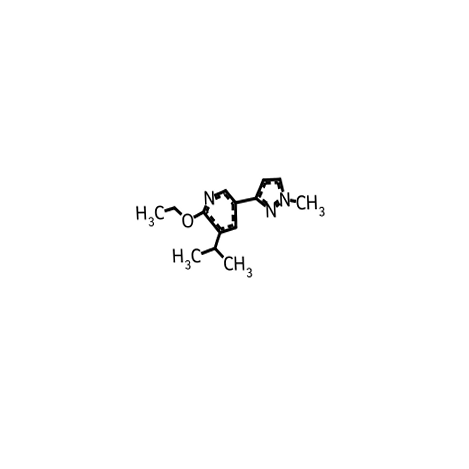 CCOc1ncc(-c2ccn(C)n2)cc1C(C)C